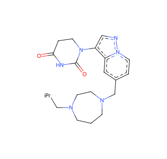 CC(C)CN1CCCN(Cc2ccn3ncc(N4CCC(=O)NC4=O)c3c2)CC1